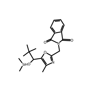 Cc1nc(CN2C(=O)c3ccccc3C2=O)oc1C(O[SiH](C)C)C(C)(C)C